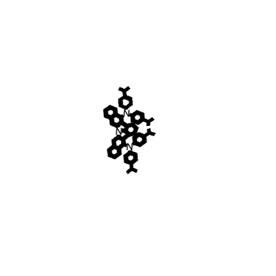 CC(C)C1=CCC(N(c2ccc(C(C)C)cc2)c2c3ccccc3cc3c2c2cccc4c5c(N(c6ccc(C(C)C)cc6)c6ccc(C(C)C)cc6)c6ccccc6cc5n3c42)C=C1